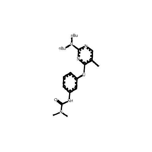 CCCCN(CCCC)c1ncc(C)c(Oc2cccc(NC(=O)N(C)C)c2)n1